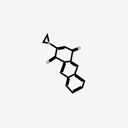 O=C1C=C(N2CC2)C(=O)c2cc3ccccc3cc21